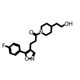 O=C(CCc1cnoc1-c1ccc(F)cc1)N1CCC(CCO)CC1